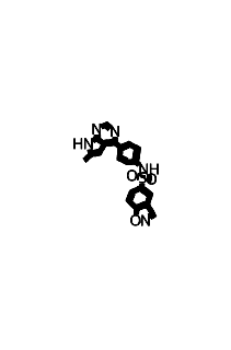 Cc1cc2c(-c3ccc(NS(=O)(=O)c4ccc5oncc5c4)cc3)ncnc2[nH]1